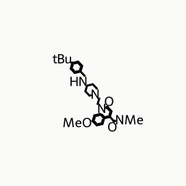 CNC(=O)c1cc(=O)n(CCN2CCC(NCc3ccc(C(C)(C)C)cc3)CC2)c2cc(OC)ccc12